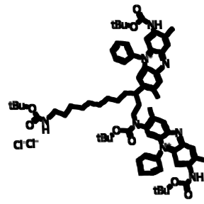 Cc1cc2nc3cc(C)c(C(CCCCCCCCCNC(=O)OC(C)(C)C)CCN(C(=O)OC(C)(C)C)c4cc5c(cc4C)nc4cc(C)c(NC(=O)OC(C)(C)C)cc4[n+]5-c4ccccc4)cc3[n+](-c3ccccc3)c2cc1NC(=O)OC(C)(C)C.[Cl-].[Cl-]